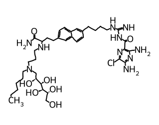 CCCCCCN(CCCNC(CCc1ccc2cc(CCCCNC(=N)NC(=O)c3nc(Cl)c(N)nc3N)ccc2c1)C(N)=O)C[C@H](O)[C@@H](O)[C@H](O)[C@H](O)CO